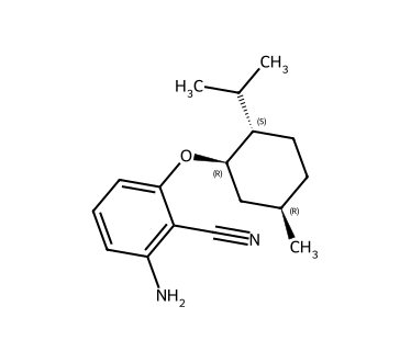 CC(C)[C@@H]1CC[C@@H](C)C[C@H]1Oc1cccc(N)c1C#N